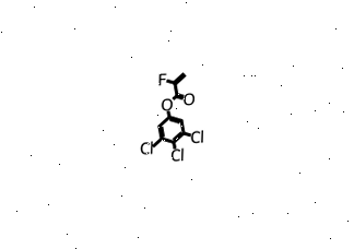 C=C(F)C(=O)Oc1cc(Cl)c(Cl)c(Cl)c1